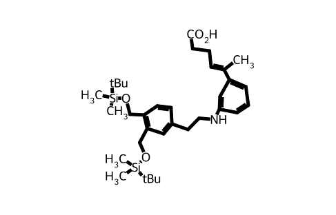 CC(=CCCC(=O)O)c1cccc(NCCc2ccc(CO[Si](C)(C)C(C)(C)C)c(CO[Si](C)(C)C(C)(C)C)c2)c1